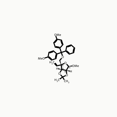 C=C[C@]1(COC(c2ccccc2)(c2ccc(OC)cc2)c2ccc(OC)cc2)O[C@@H](OC)[C@@H]2OC(C)(C)O[C@@H]21